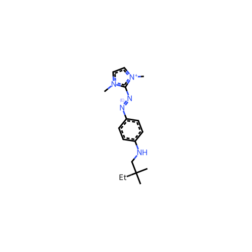 CCC(C)(C)CNc1ccc(/N=N/c2n(C)cc[n+]2C)cc1